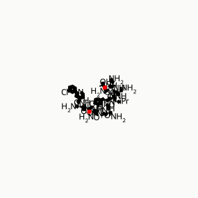 CC(C)C[C@H](NC(=O)[C@@H](Cc1ccccc1)NC(=O)[C@H](CCN)NC(=O)[C@H](C)NC(=O)[C@H](CN)NC(=O)[C@@H](NC(=O)[C@H](CCN)NC(=O)c1ccnc(-c2cccc(Cl)c2)c1)[C@@H](C)O)C(=O)N[C@@H](CCN)C(=O)N[C@@H](CCN)C(=O)N[C@H](C(N)=O)[C@@H](C)O